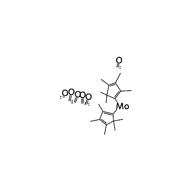 CC1=C(C)C(C)(C)[C]([Mo][C]2=C(C)C(C)=C(C)C2(C)C)=C1C.[C]=O.[C]=O.[C]=O.[C]=O.[C]=O.[C]=O